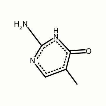 Cc1cnc(N)[nH]c1=O